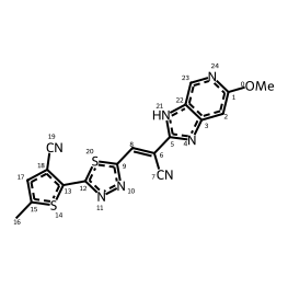 COc1cc2nc(/C(C#N)=C/c3nnc(-c4sc(C)cc4C#N)s3)[nH]c2cn1